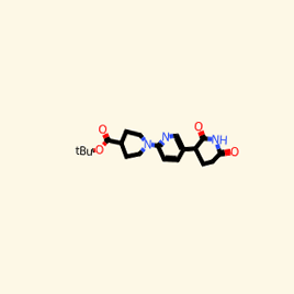 CC(C)(C)OC(=O)C1CCN(c2ccc(C3CCC(=O)NC3=O)cn2)CC1